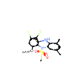 COc1cc(F)c(F)c(Nc2ccc(C)cc2C)c1NS(C)(=O)=O